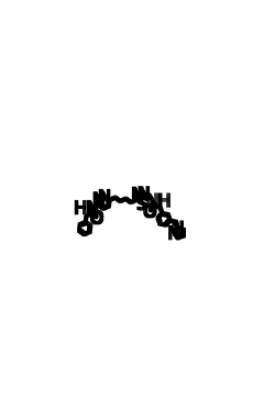 O=C(Cc1ccccc1)Nc1ccc(CCCCc2nnc(NC(=O)Cc3cccc(Cn4cccn4)c3)s2)nn1